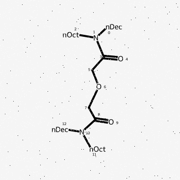 CCCCCCCCCCN(CCCCCCCC)C(=O)COCC(=O)N(CCCCCCCC)CCCCCCCCCC